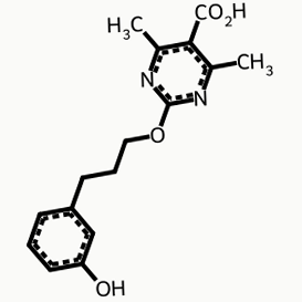 Cc1nc(OCCCc2cccc(O)c2)nc(C)c1C(=O)O